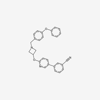 N#Cc1cccc(-c2ccc(OC3CN(Cc4ccc(Oc5ccccc5)cc4)C3)nc2)c1